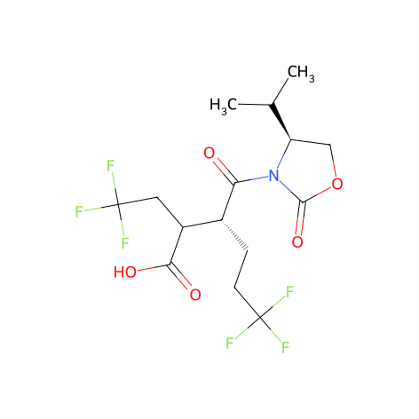 CC(C)[C@H]1COC(=O)N1C(=O)[C@H](CCC(F)(F)F)C(CC(F)(F)F)C(=O)O